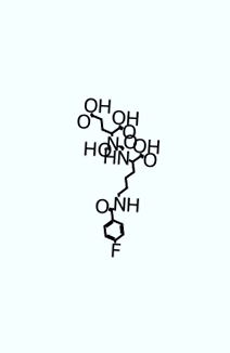 O=C(O)CCC(C(=O)O)N(O)C(=O)NC(CCCCNC(=O)c1ccc(F)cc1)C(=O)O